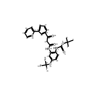 CC(C)(C)OC(=O)Nc1ccc(OC(F)(F)F)cc1NC(=O)CC(=O)c1cccc(-c2ccccn2)c1